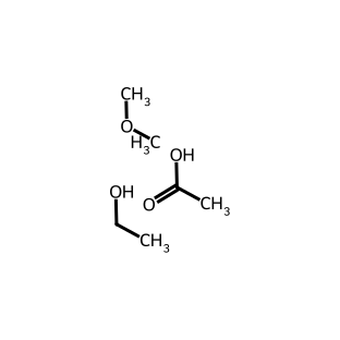 CC(=O)O.CCO.COC